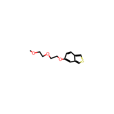 COCCOCCOc1ccc2cscc2c1